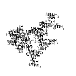 CC(C)C[C@H](NC(=O)CNC(=O)[C@H](CCCNC(=N)N)NC(=O)[C@H](C)NC(=O)[C@H](C)NC(=O)[C@H](CCCNC(=N)N)NC(=O)[C@H](C)NC(=O)[C@@H](NC(=O)[C@H](CC(C)C)NC(=O)[C@H](CC(C)C)NC(=O)[C@H](CO)NC(=O)[C@H](CCCNC(=N)N)NC(=O)CNC(=O)CN)C(C)C)C(=O)N[C@@H](Cc1ccc(O)cc1)C(=O)N[C@@H](CCCNC(=N)N)C(=O)N[C@@H](CC(C)C)C(=O)N[C@@H](Cc1c[nH]cn1)C(=O)N[C@@H](Cc1c[nH]cn1)C(=O)O